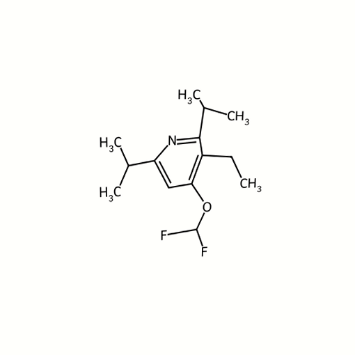 CCc1c(OC(F)F)cc(C(C)C)nc1C(C)C